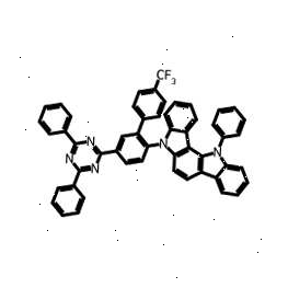 FC(F)(F)c1ccc(-c2cc(-c3nc(-c4ccccc4)nc(-c4ccccc4)n3)ccc2-n2c3ccccc3c3c2ccc2c4ccccc4n(-c4ccccc4)c23)cc1